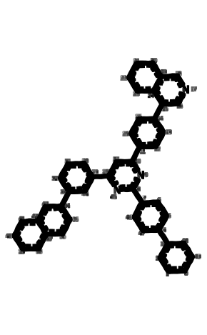 c1ccc(-c2ccc(-c3nc(-c4ccc(-c5cncc6ccccc56)cc4)cc(-c4cccc(-c5ccc6ccccc6c5)c4)n3)cc2)cc1